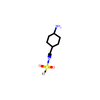 CCS(=O)(=O)[N+]#CC1CCC(N)CC1